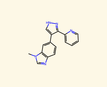 Cn1cnc2ccc(-c3c[nH]nc3-c3ccccn3)cc21